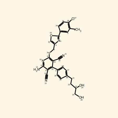 Cc1cc(-c2nc(CSc3nc(N)c(C#N)c(-c4ccc(CC[C@@H](O)CO)cc4)c3C#N)co2)ccc1Cl